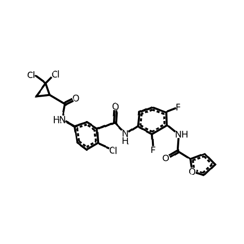 O=C(Nc1c(F)ccc(NC(=O)c2cc(NC(=O)C3CC3(Cl)Cl)ccc2Cl)c1F)c1ccco1